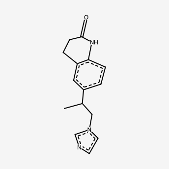 CC(Cn1ccnc1)c1ccc2c(c1)CCC(=O)N2